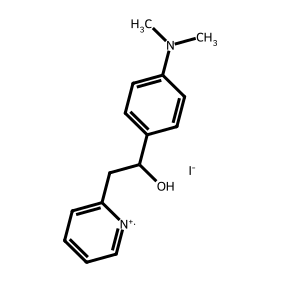 CN(C)c1ccc(C(O)CC2=CC=CC=[N+]2)cc1.[I-]